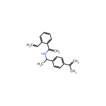 C=Cc1ccccc1C(=C)NC(C)c1ccc(C(=C)C)cc1